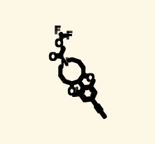 CC#Cc1cc(C)c(C2C(=O)CCCN(C(=O)COC(F)F)CCCC2O)c(C)c1